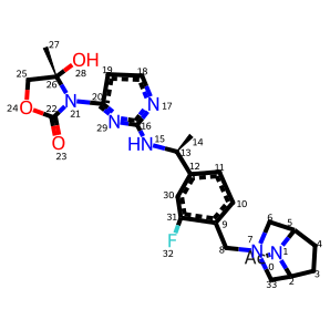 CC(=O)N1C2CCC1CN(Cc1ccc([C@H](C)Nc3nccc(N4C(=O)OC[C@]4(C)O)n3)cc1F)C2